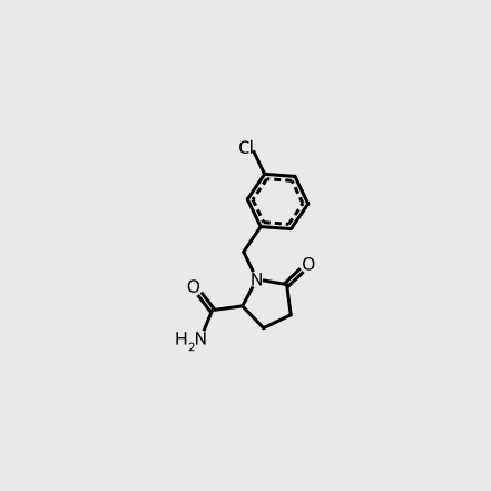 NC(=O)C1CCC(=O)N1Cc1cccc(Cl)c1